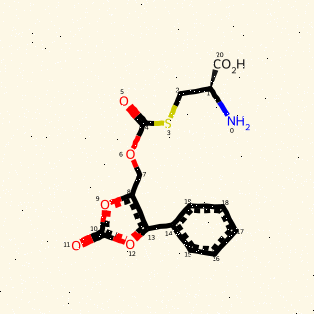 N[C@@H](CSC(=O)OCc1oc(=O)oc1-c1ccccc1)C(=O)O